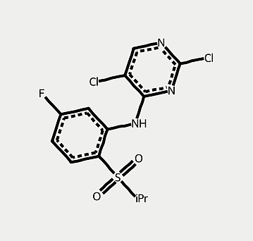 CC(C)S(=O)(=O)c1ccc(F)cc1Nc1nc(Cl)ncc1Cl